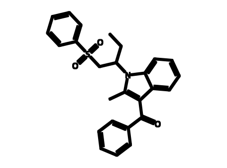 CCC(CS(=O)(=O)c1ccccc1)n1c(C)c(C(=O)c2ccccc2)c2ccccc21